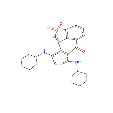 O=C1c2cccc3c2C(=NS3(=O)=O)c2c(NC3CCCCC3)ccc(NC3CCCCC3)c21